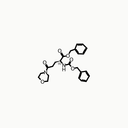 O=C(N[C@@H](CCC(=O)N1CCOCC1)C(=O)OCc1ccccc1)OCc1ccccc1